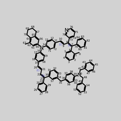 Cc1ccccc1/C(=C(\C=C\c1ccc(N(c2ccc(/C=C/C=C(/c3ccccc3)c3cccc(Cc4ccc(N(Cc5ccccc5)Cc5ccccc5)cc4)c3)cc2)c2cc(C)c3c(c2)CCCC3)cc1)c1cccnc1)c1ccccc1